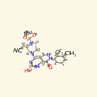 Cc1cccc(-n2ncc3c(N4CCN(C(=O)OC(C)(C)C)C(CC#N)C4)nc(O)nc3c2=O)c1C(F)(F)F